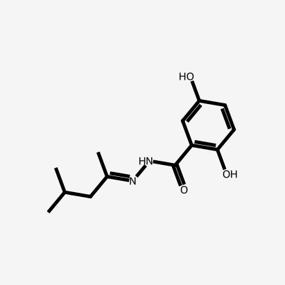 C/C(CC(C)C)=N\NC(=O)c1cc(O)ccc1O